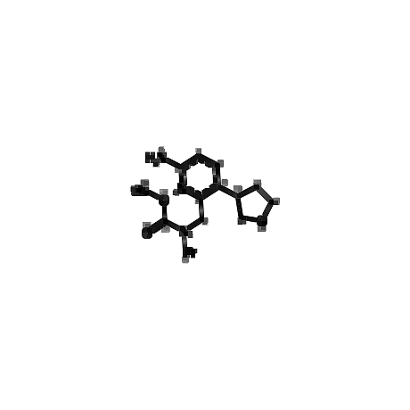 CC(C)N(Cc1nc(N)ccc1C1CCOC1)C(=O)OC(C)(C)C